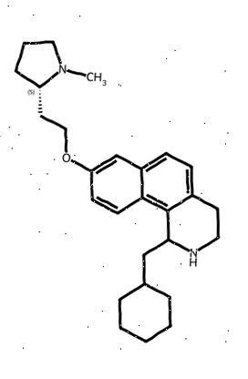 CN1CCC[C@H]1CCOc1ccc2c3c(ccc2c1)CCNC3CC1CCCCC1